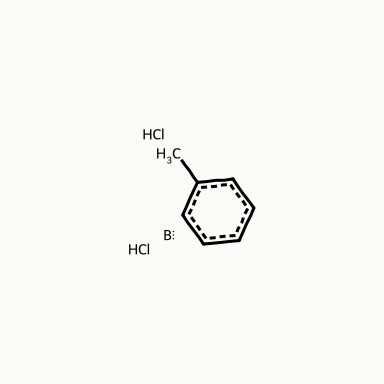 Cc1ccccc1.Cl.Cl.[B]